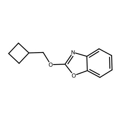 c1ccc2oc(OCC3CCC3)nc2c1